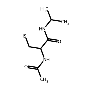 CC(=O)NC(CS)C(=O)NC(C)C